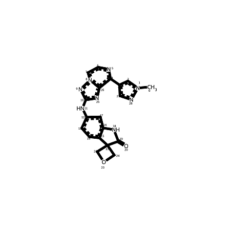 Cn1cc(-c2nccn3nc(Nc4ccc5c(c4)NC(=O)C54COC4)nc23)cn1